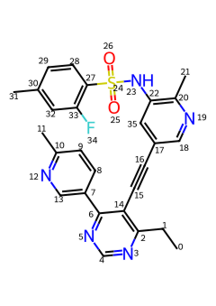 CCc1ncnc(-c2ccc(C)nc2)c1C#Cc1cnc(C)c(NS(=O)(=O)c2ccc(C)cc2F)c1